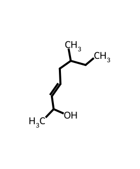 CCC(C)C/C=C/C(C)O